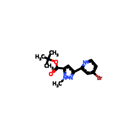 Cn1nc(-c2cc(Br)ccn2)cc1C(=O)OC(C)(C)C